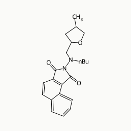 CCCCN(CC1CC(C)CO1)N1C(=O)c2ccc3ccccc3c2C1=O